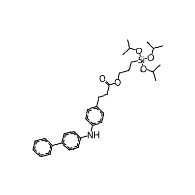 CC(C)O[Si](CCCOC(=O)CCc1ccc(Nc2ccc(-c3ccccc3)cc2)cc1)(OC(C)C)OC(C)C